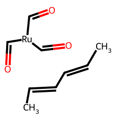 CC=CC=CC.O=[CH][Ru]([CH]=O)[CH]=O